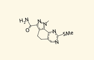 CSc1ncc2c(n1)-c1c(c(C(N)=O)nn1C)CC2